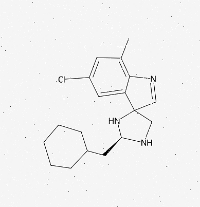 Cc1cc(Cl)cc2c1N=CC21CN[C@@H](CC2CCCCC2)N1